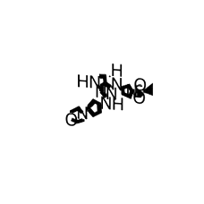 O=S(=O)(C1CC1)N1CC[C@H](Nc2nc(Nc3ccc(N4CCOCC4)cc3)nc3[nH]c[c]c23)C1